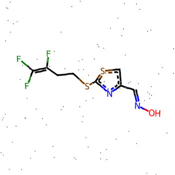 ON=Cc1csc(SCCC(F)=C(F)F)n1